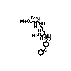 COCCN/C(=N\C#N)NCCCC[C@@H](NS(=O)(=O)c1ccc(Oc2ccccc2)cc1)C(=O)NO